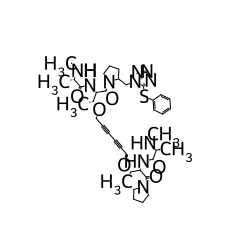 CN[C@@H](C)C(=O)N[C@H](C(=O)N1CCCC1)C(C)OCC#CC#CCO[C@H](C)[C@H](NC(=O)[C@H](C)NC)C(=O)N1CCCC1Cn1nnnc1Sc1ccccc1